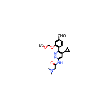 CCOCOc1cc(C=O)ccc1-c1nnc(NC(=O)CN(C)C)cc1C1CC1